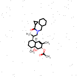 CC(=O)O[C@@H]1[CH][C@@]2(O)[C@H](C)CC[C@@H](C(C)CN(CC3CCCCC3)C(=O)C3CC3)[C@H]2C=C1C